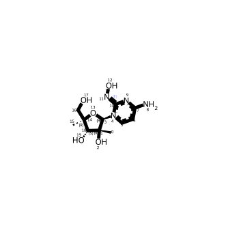 C[C@]1(O)[C@H](n2ccc(N)n/c2=N\O)O[C@](C)(CO)[C@H]1O